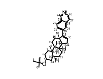 CC(C)(C)O[C@H]1CC[C@@]2(C)[C@@H](CC[C@@H]3[C@@H]2CC[C@]2(C)C(c4ccc5cnccc5c4)=CC[C@@H]32)C1